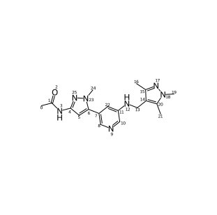 CC(=O)Nc1cc(-c2cncc(NCc3c(C)nn(C)c3C)c2)n(C)n1